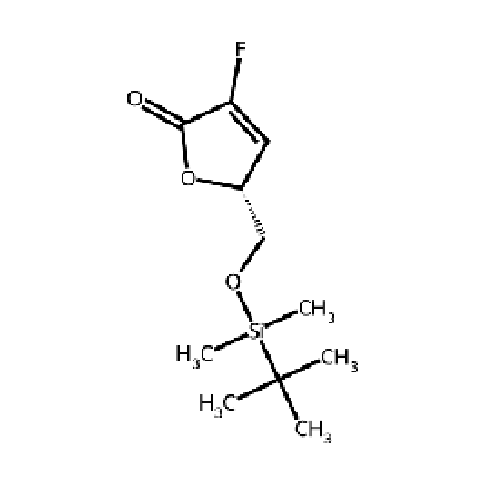 CC(C)(C)[Si](C)(C)OC[C@H]1C=C(F)C(=O)O1